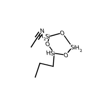 CC#N.CCC[SiH]1O[SiH2]O[SiH2]O1